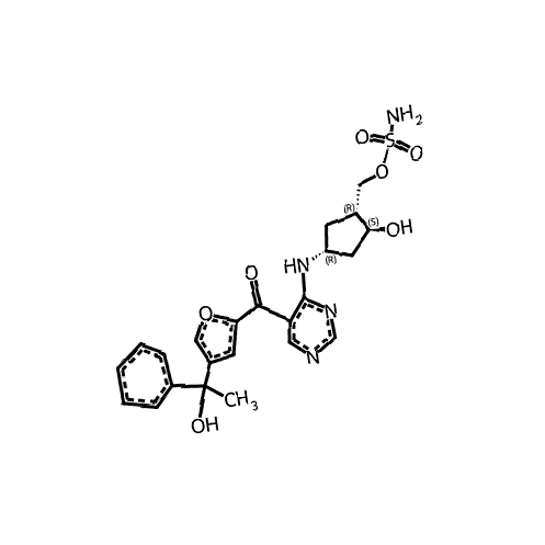 CC(O)(c1ccccc1)c1coc(C(=O)c2cncnc2N[C@@H]2C[C@H](COS(N)(=O)=O)[C@@H](O)C2)c1